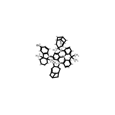 CC1C=C2CC3CC(CC1N1c4cc(N5c6ccc(C(C)(C)C)cc6C6(C)CCCCC56C)cc5c4B4c6c1cccc6C(C)(C)c1cccc(c14)N5C1(C)C=C4CC5CC(C1)[C@@H]45)C23